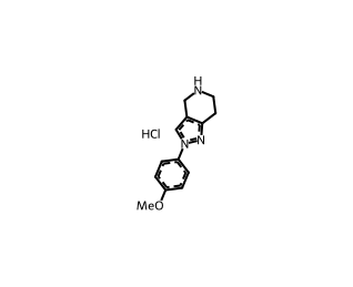 COc1ccc(-n2cc3c(n2)CCNC3)cc1.Cl